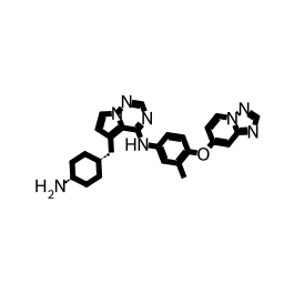 Cc1cc(Nc2ncnn3ccc(C[C@H]4CC[C@@H](N)CC4)c23)ccc1Oc1ccn2ncnc2c1